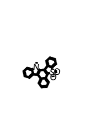 Cn1c2ccccc2c2c3ccccc3c3c(c21)-c1ccccc1S3(=O)=O